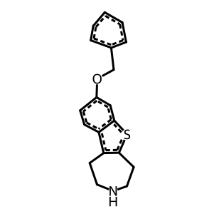 c1ccc(COc2ccc3c4c(sc3c2)CCNCC4)cc1